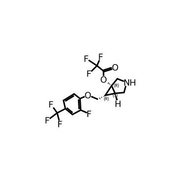 O=C(O[C@]12CNC[C@@H]1[C@@H]2COc1ccc(C(F)(F)F)cc1F)C(F)(F)F